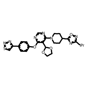 CC(C)c1noc(C2CCN(c3ncnc(Oc4ccc(-c5csnn5)cc4)c3C3OCCO3)CC2)n1